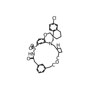 O=C1Cc2cccc(c2)CCOCC2CC[C@H]2CN2C[C@@]3(CCCc4cc(Cl)ccc43)COc3ccc(cc32)S(=O)(=O)N1